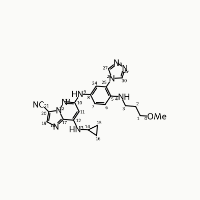 COCCCNc1ccc(Nc2cc(NC3CC3)c3ncc(C#N)n3n2)cc1-n1cnnc1